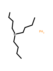 CCC[CH2][In]([CH2]CCC)[CH2]CCC.P